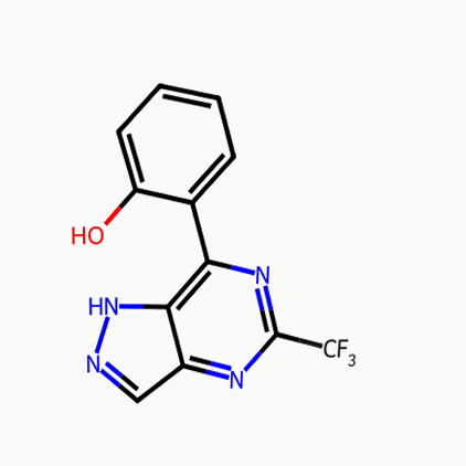 Oc1ccccc1-c1nc(C(F)(F)F)nc2cn[nH]c12